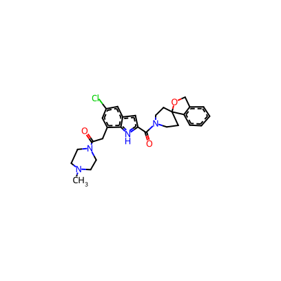 CN1CCN(C(=O)Cc2cc(Cl)cc3cc(C(=O)N4CCC5(CC4)OCc4ccccc45)[nH]c23)CC1